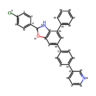 Clc1ccc(C2Nc3c(cc(-c4ccc(-c5cccnc5)cc4)cc3-c3ccccc3)O2)cc1